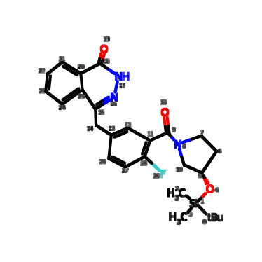 CC(C)(C)[Si](C)(C)O[C@@H]1CCN(C(=O)c2cc(Cc3n[nH]c(=O)c4ccccc34)ccc2F)C1